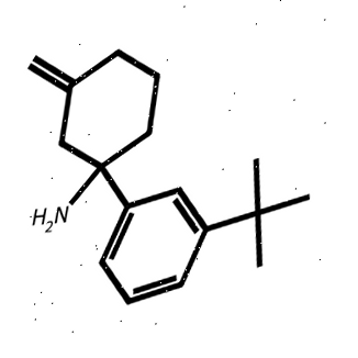 C=C1CCCC(N)(c2cccc(C(C)(C)C)c2)C1